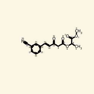 COC(=O)C(C)OC(=O)CC(=O)C=Cc1cccc(C#N)c1